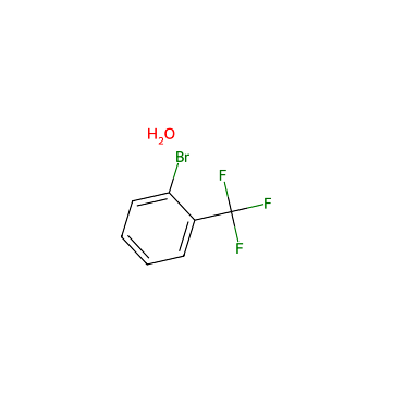 FC(F)(F)c1ccccc1Br.O